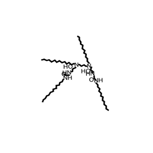 CCCCCCCCCCCCCCNC(=O)CNCC(O)CN(CCCCCCCCCCCCCC)CCCCN(CCCCCCCCCCCCCC)CC(O)CNCC(=O)NCCCCCCCCCCCCCC